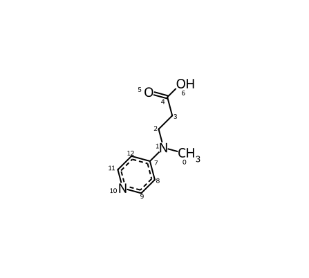 CN(CCC(=O)O)c1ccncc1